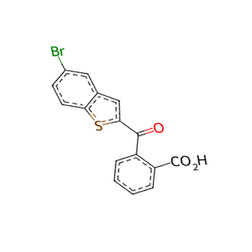 O=C(O)c1ccccc1C(=O)c1cc2cc(Br)ccc2s1